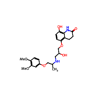 COc1ccc(OCC(C)NCC(O)COc2ccc(O)c3c2CCC(=O)N3)cc1OC